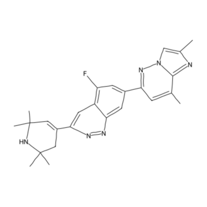 Cc1cn2nc(-c3cc(F)c4cc(C5=CC(C)(C)NC(C)(C)C5)nnc4c3)cc(C)c2n1